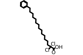 O=C(O)C(Cl)(Cl)CCCCCCCCCCCCCCc1ccccc1